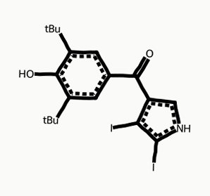 CC(C)(C)c1cc(C(=O)c2c[nH]c(I)c2I)cc(C(C)(C)C)c1O